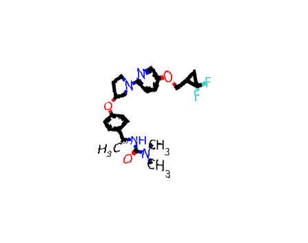 C[C@H](NC(=O)N(C)C)c1ccc(OC2CCN(c3ccc(OCC4CC4(F)F)cn3)C2)cc1